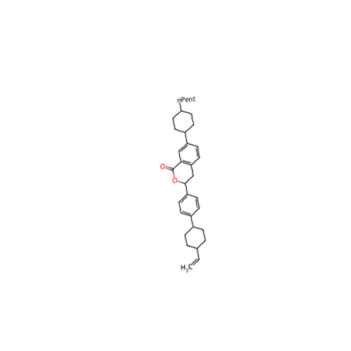 C=CC1CCC(c2ccc(C3Cc4ccc(C5CCC(CCCCC)CC5)cc4C(=O)O3)cc2)CC1